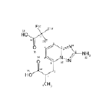 CC(Cc1cccc2nc(N)nn12)C(=O)O.O=C(O)C(F)(F)F